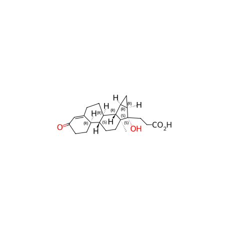 C[C@]12CC[C@H]3[C@@H](CCC4=CC(=O)CC[C@@H]43)[C@@H]1[C@H]1C[C@H]1[C@@]2(O)CCC(=O)O